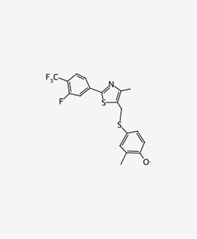 Cc1cc(SCc2sc(-c3ccc(C(F)(F)F)c(F)c3)nc2C)ccc1[O]